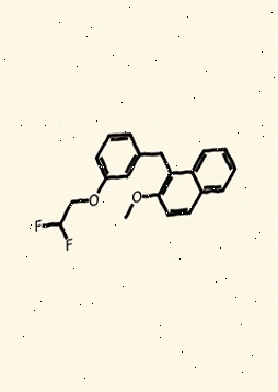 COc1ccc2ccccc2c1Cc1cccc(OCC(F)F)c1